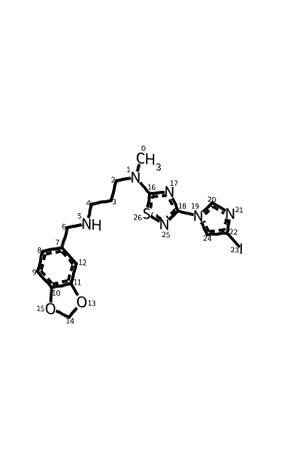 CN(CCCNCc1ccc2c(c1)OCO2)c1nc(-n2cnc(I)c2)ns1